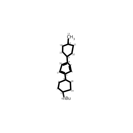 CCCCC1CCC(c2ccc(C3CCC(C)CC3)cc2)CC1